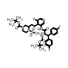 CC(C)(C)OC(=O)N[C@H](C(=O)Nc1cncc(F)c1CCC1CN(C(=O)OC(C)(C)C)CCN1S(C)(=O)=O)C(c1ccc(F)cc1)c1ccc(F)cc1